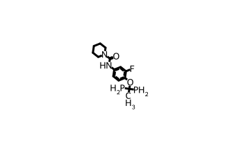 CC(P)(P)Oc1ccc(NC(=O)N2CCCCC2)cc1F